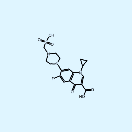 O=C(O)c1cn(C2CC2)c2cc(N3CCN(CS(=O)(=O)O)CC3)c(F)cc2c1=O